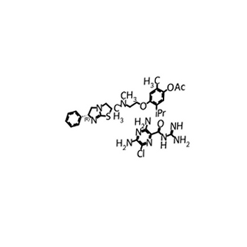 CC(=O)Oc1cc(C(C)C)c(OCCN(C)C)cc1C.N=C(N)NC(=O)c1nc(Cl)c(N)nc1N.c1ccc([C@@H]2CN3CCSC3=N2)cc1